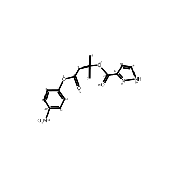 CC(C)(CC(=O)Oc1ccc([N+](=O)[O-])cc1)OC(=O)c1cc[nH]n1